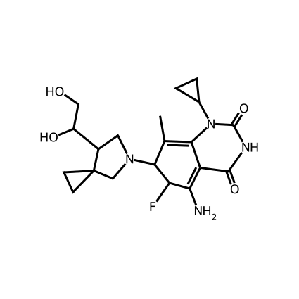 CC1=c2c(c(=O)[nH]c(=O)n2C2CC2)=C(N)C(F)C1N1CC(C(O)CO)C2(CC2)C1